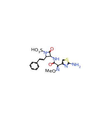 CO/N=C(\C(=O)NC1C(=O)N(S(=O)(=O)O)C1/C=C/c1ccccc1)c1csc(N)n1